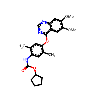 COc1cc2ncnc(Oc3cc(C)c(NC(=O)OC4CCCC4)cc3C)c2cc1OC